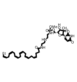 CC/C=C\C/C=C\C/C=C\C/C=C\C/C=C\C/C=C\CCC(=O)NCCNCCNP(=O)(OC)OC[C@H]1OC(n2ccc(=O)[nH]c2=O)[C@](C)(F)[C@@H]1O